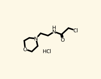 Cl.O=C(CCl)NCCN1CCOCC1